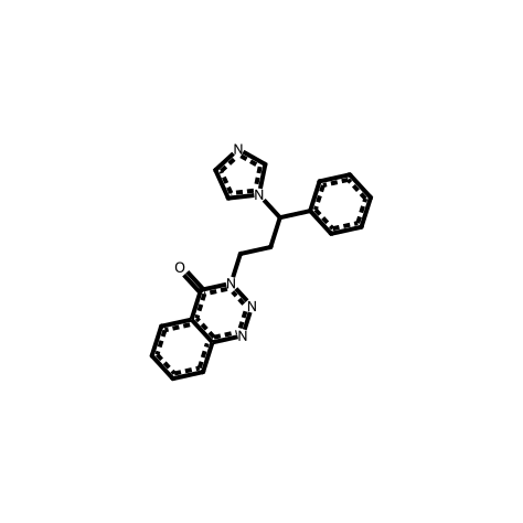 O=c1c2ccccc2nnn1CCC(c1ccccc1)n1ccnc1